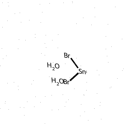 O.O.[Br][Sn][Br]